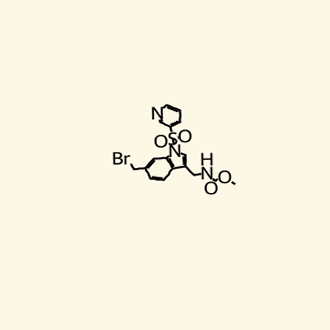 COC(=O)NCc1cn(S(=O)(=O)c2cccnc2)c2cc(CBr)ccc12